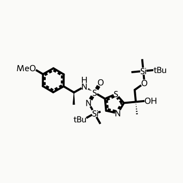 COc1ccc([C@H](C)N[S@@](=O)(=N[Si](C)(C)C(C)(C)C)c2cnc([C@](C)(O)CO[Si](C)(C)C(C)(C)C)s2)cc1